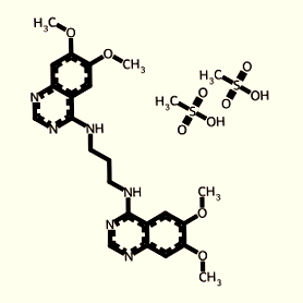 COc1cc2ncnc(NCCCNc3ncnc4cc(OC)c(OC)cc34)c2cc1OC.CS(=O)(=O)O.CS(=O)(=O)O